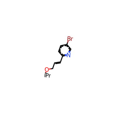 CC(C)OCC=Cc1ccc(Br)cn1